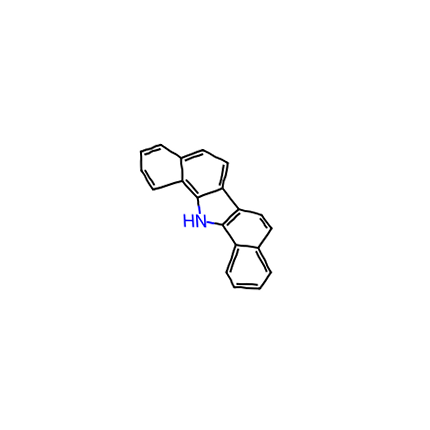 c1ccc2c(c1)ccc1c3ccc4ccccc4c3[nH]c21